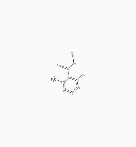 Cc1cccc(C(F)(F)F)c1C(=O)CBr